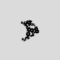 C=CC(=O)N1CCN(c2nc(OCC3S[C@]3(C)N(C)C3S[C@@]3(C)C3CC3)nc3c2CCN(c2cncc4cccc(Cl)c24)C3)C[C@@H]1CC#N